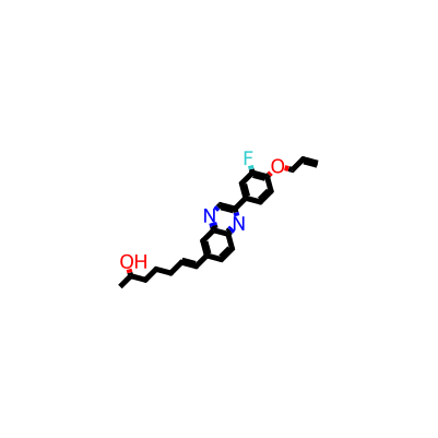 C=CCOc1ccc(-c2cnc3cc(C=CCCCC(C)O)ccc3n2)cc1F